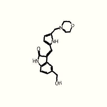 O=C1Nc2ccc(CO)cc2C1=Cc1ccc(CN2CCOCC2)[nH]1